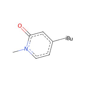 CCC(C)c1ccn(C)c(=O)c1